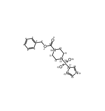 O=C(OCc1ccccc1)N1CCN(S(=O)(=O)n2cncn2)CC1